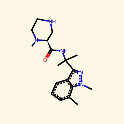 Cc1cccc2c(C(C)(C)NC(=O)[C@@H]3CNCCN3C)nn(C)c12